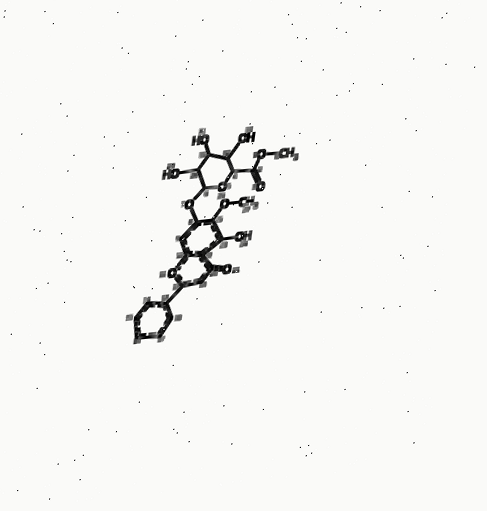 COC(=O)C1OC(Oc2cc3oc(-c4ccccc4)cc(=O)c3c(O)c2OC)C(O)C(O)C1O